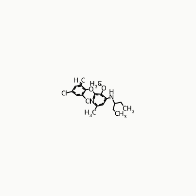 CCC(CC)Nc1cc(C)nc(Oc2c(C)cc(Cl)cc2Cl)c1OC